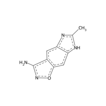 Cc1nc2cc3c(N)noc3cc2[nH]1